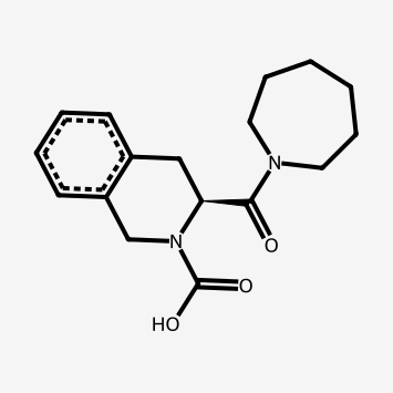 O=C([C@@H]1Cc2ccccc2CN1C(=O)O)N1CCCCCC1